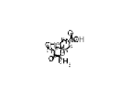 CCN1CC2(CCN(C(=O)O)CC2)OC(C)C1=O